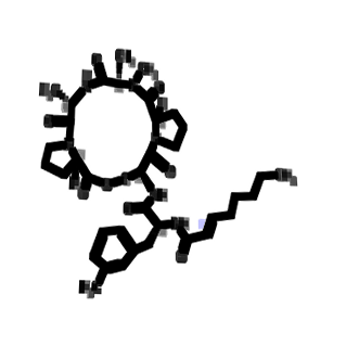 CCCCC/C=C/C(=O)N[C@@H](Cc1cccc(C)c1)C(=O)N[C@H]1COC(=O)[C@@H]2CCCN2C(=O)[C@H](C)NC(=O)[C@H](C)N(C)C(=O)[C@@H]2CCCN2C1=O